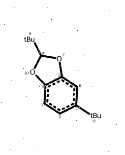 CC(C)(C)c1ccc2c(c1)OC(C(C)(C)C)O2